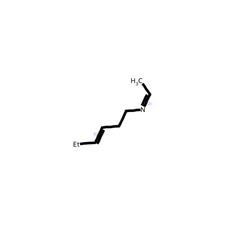 C/C=N\CC/C=C/CC